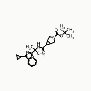 CC(C)(C)OC(=O)N1CC2C(C1)C2C(=O)NC(C)(C)c1nc(C2CC2)c2ccccn12